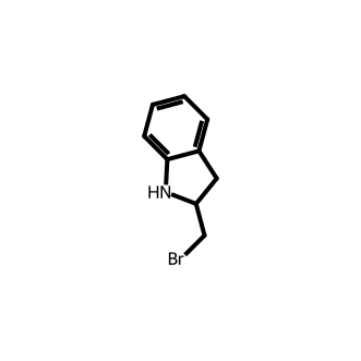 BrCC1Cc2ccccc2N1